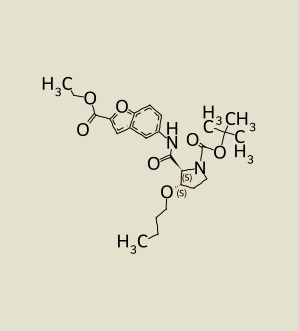 CCCCO[C@H]1CCN(C(=O)OC(C)(C)C)[C@@H]1C(=O)Nc1ccc2oc(C(=O)OCC)cc2c1